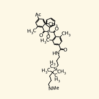 CNCCCC(C)(C)[Si](C)(C)CCCNC(=O)c1cc(C)c(C(=O)P(=O)(C(=O)c2c(C)cc(C(C)=O)cc2C)c2ccccc2)c(C)c1